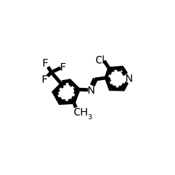 Cc1ccc(C(F)(F)F)cc1/N=C/c1ccncc1Cl